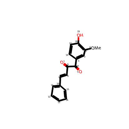 COc1cc(C(=O)C(=O)C=Cc2ccccc2)ccc1O